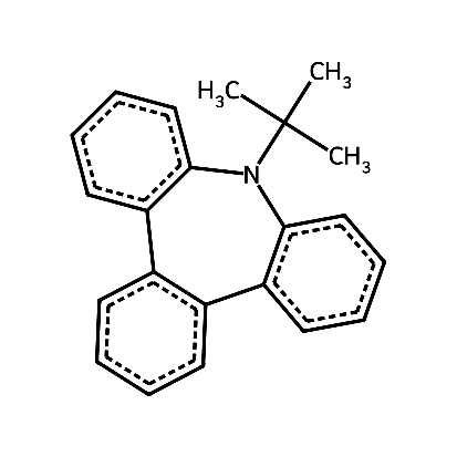 CC(C)(C)N1c2ccccc2-c2ccccc2-c2ccccc21